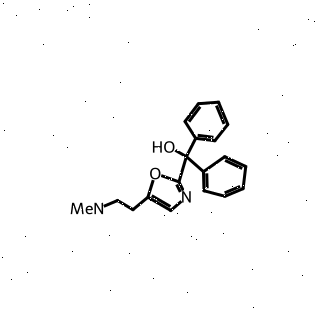 CNCCc1cnc(C(O)(c2ccccc2)c2ccccc2)o1